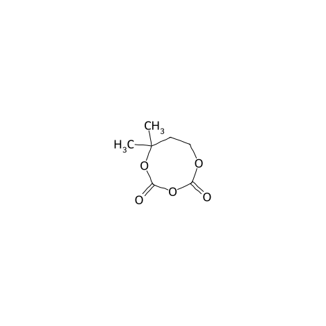 CC1(C)CCOC(=O)OC(=O)O1